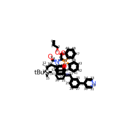 C=CCOC(=O)C(N1C(=O)[C@@H]([C@@H](C)[Si](C)(C)C(C)(C)C)[C@H]1[C@H]1CCC/C(=C\c2cccc(-c3ccncc3)c2)C1=O)=P(c1ccccc1)(c1ccccc1)c1ccccc1